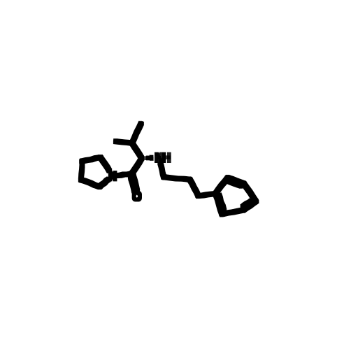 CC(C)[C@H](NCCCc1ccccc1)C(=O)N1CCCC1